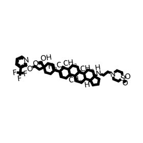 CC1(C)C(C2=CCC(CCOc3ncccc3C(F)(F)F)(C(=O)O)CC2)=CCC2(C)C1CCC1(C)C3CCC4(NCCN5CCS(=O)(=O)CC5)CCC[C@@H]4C3CCC12